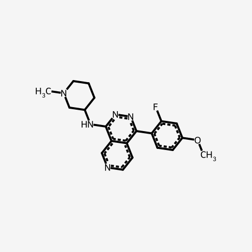 COc1ccc(-c2nnc(NC3CCCN(C)C3)c3cnccc23)c(F)c1